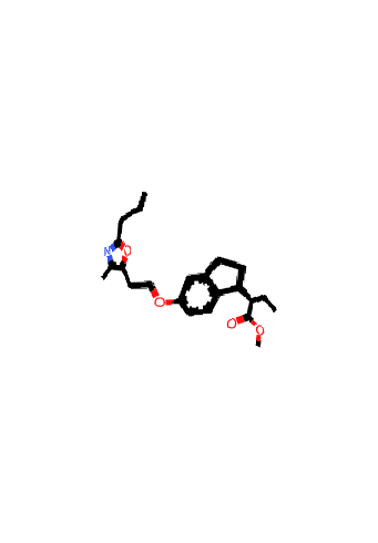 CCCc1nc(C)c(CCOc2ccc3c(c2)CCC3C(CC)C(=O)OC)o1